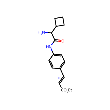 CCOC(=O)/C=C/c1ccc(NC(=O)C(N)C2CCC2)cc1